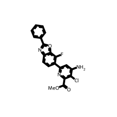 COC(=O)c1nc(-c2ccc3nc(-c4ccccc4)oc3c2F)cc(N)c1Cl